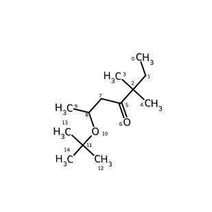 CCC(C)(C)C(=O)CC(C)OC(C)(C)C